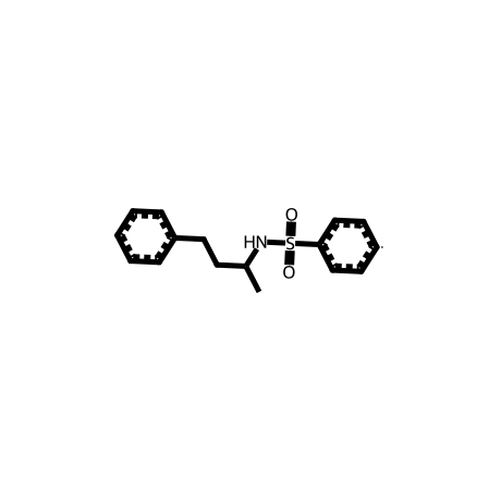 CC(CCc1ccccc1)NS(=O)(=O)c1cc[c]cc1